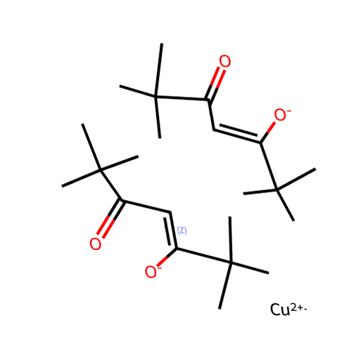 CC(C)(C)C(=O)/C=C(\[O-])C(C)(C)C.CC(C)(C)C(=O)C=C([O-])C(C)(C)C.[Cu+2]